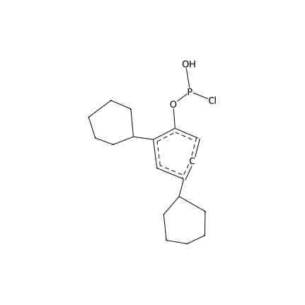 OP(Cl)Oc1ccc(C2CCCCC2)cc1C1CCCCC1